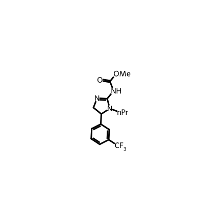 CCCN1C(NC(=O)OC)=NCC1c1cccc(C(F)(F)F)c1